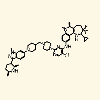 C=C1CCC(c2nn(C)c3cc(N4CCC(CN5CCN(c6ncc(Cl)c(Nc7ccc8c(c7)C7=C(CCC(F)(F)C(C9CC9)N7)C(=C)N8C)n6)CC5)CC4)ccc23)C(=C)N1